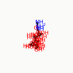 NCCCNC(=O)NCCO[C@H]1OC(CO)[C@@H](O)C(O[C@H]2OC(CO)[C@@H](O)C(O[C@H]3OC(CO)[C@@H](O)C(O)C3O[C@H]3OC(CO)[C@@H](O)C(O)C3O[C@H]3OC(CO)[C@@H](O)C(O)C3O)C2O)C1O